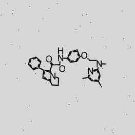 Cc1cc(C)nc(N(C)CCOc2ccc(NC(=O)C(=O)c3c(-c4ccccc4)cc4n3CCC4)cc2)c1